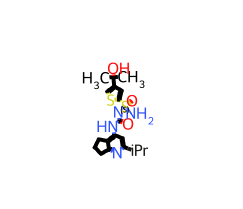 CC(C)c1cc(NC(=O)N=[S@](N)(=O)c2cc(C(C)(C)O)cs2)c2c(n1)CCC2